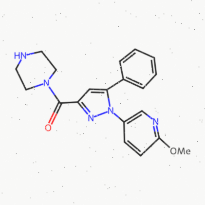 COc1ccc(-n2nc(C(=O)N3CCNCC3)cc2-c2ccccc2)cn1